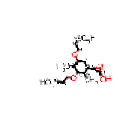 BC1C(OCCS(=O)(=O)O)CC(C2OC2O)C(C)C1OCCS(=O)(=O)O